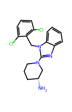 N[C@@H]1CCCN(c2nc3ccccc3n2Cc2c(Cl)cccc2Cl)C1